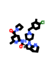 Cc1cc(C(=O)N2CCCC2)cc(NC(=O)[C@H]2Cc3cccnc3N2C2CCN(Cc3ccc(Cl)c(C)c3)CC2)n1